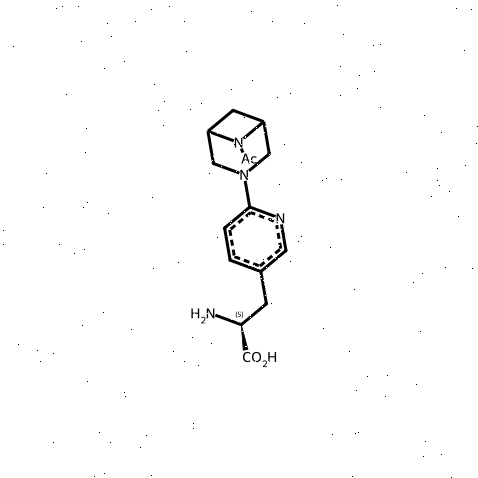 CC(=O)N1C2CC1CN(c1ccc(C[C@H](N)C(=O)O)cn1)C2